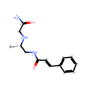 CC(C)[C@@H](CNC(=O)/C=C/c1ccccc1)NCC(N)=O